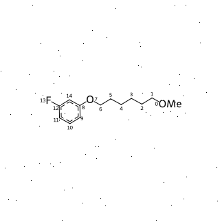 COCCCCCCOc1cc[c]c(F)c1